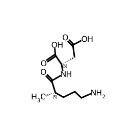 C[C@@H](CCCN)C(=O)N[C@@H](CC(=O)O)C(=O)O